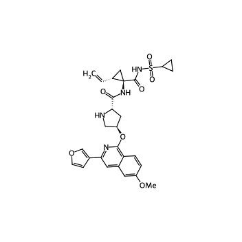 C=C[C@@H]1C[C@]1(NC(=O)[C@@H]1C[C@@H](Oc2nc(-c3ccoc3)cc3cc(OC)ccc23)CN1)C(=O)NS(=O)(=O)C1CC1